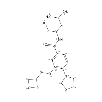 CC(C)CC(CO)NC(=O)c1ccc(N2CCCC2)c(OCC2COC2)n1